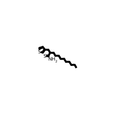 CCCCCCCCCCC(Cc1ccsc1)C(N)=S